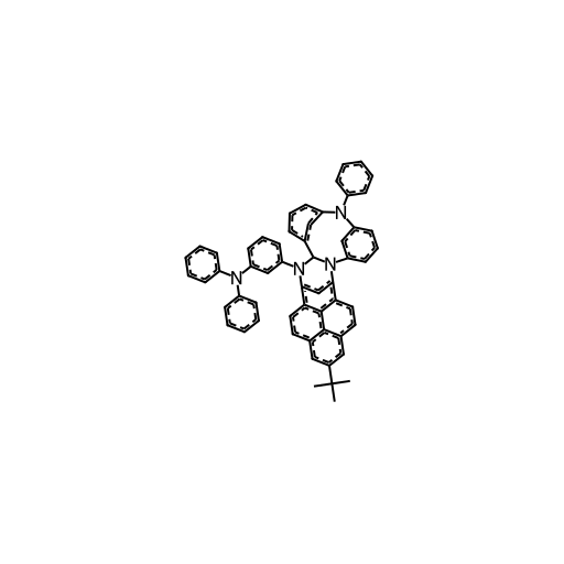 CC(C)(C)c1cc2ccc3c4cc(c5ccc(c1)c2c35)N1c2cccc(c2)N(c2ccccc2)c2cccc(c2)C1N4c1cccc(N(c2ccccc2)c2ccccc2)c1